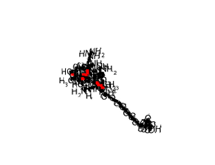 CC[C@H](C)[C@H](NC(=O)[C@@H](NC(=O)[C@H](C)NC(=O)[C@H](CCCNC(=N)N)NC(=O)[C@H](Cc1ccccc1)NC(=O)[C@H](CC(C)C)NC(=O)[C@H](C)NC(=O)[C@H](CCCNC(=N)N)NC(=O)CNC(=O)CCOCCOCCOCCOCCOCCOCCC(=O)ON1C(=O)CC(S(=O)(=O)O)C1=O)[C@@H](C)O)C(=O)N[C@@H](CC(=O)O)C(=O)N[C@@H](C)C(=O)N[C@@H](Cc1c[nH]c2ccccc12)C(=O)N[C@@H](CCCNC(=N)N)C(N)=O